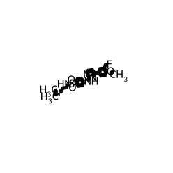 COc1ccc(-c2ccnc(Nc3ccc(S(=O)(=O)NCCCN(C)C)cc3)n2)cc1CF